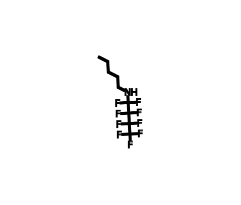 CCCCCNC(F)(F)C(F)(F)C(F)(F)C(F)(F)F